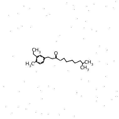 CCc1cc(CCC(=O)CCCCCCC(C)C)ccc1C